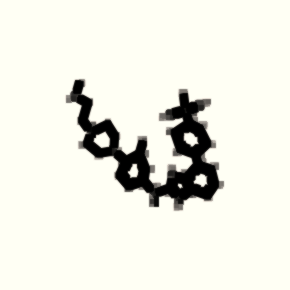 COCCN1CCN(c2ccc(Nc3nc4cccc(-c5ccc(S(C)(=O)=O)cc5)c4o3)cc2C)CC1